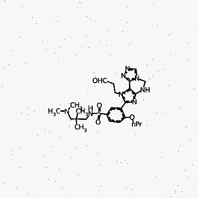 CCCOc1ccc(S(=O)(=O)NCC(C)(C)CN(C)C)cc1-c1nc2c(n1CCC=O)-c1nncn1CN2